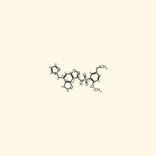 CCc1ccc(OC)c(S(=O)(=O)Nc2noc3cc(Cn4cccn4)c4c(c23)OCC4)c1